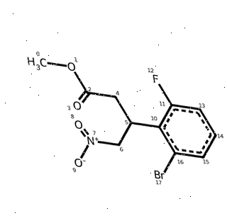 COC(=O)CC(C[N+](=O)[O-])c1c(F)cccc1Br